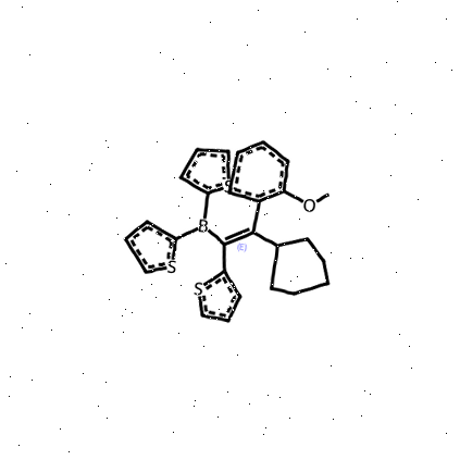 COc1ccccc1/C(=C(\B(c1cccs1)c1cccs1)c1cccs1)C1CCCCC1